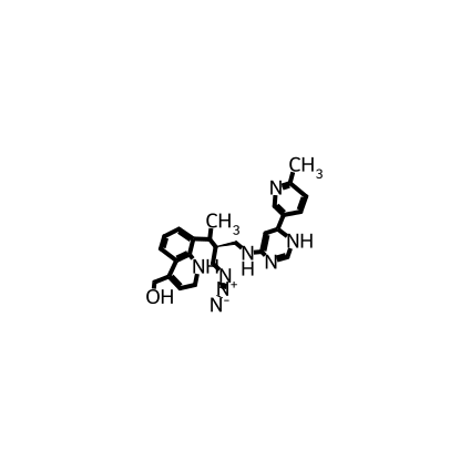 Cc1ccc(C2C=C(NC[C@@H](CN=[N+]=[N-])C(C)c3cccc4c3NCC=C4CO)N=CN2)cn1